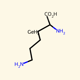 NCCCCC(N)C(=O)O.[GeH4]